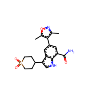 Cc1noc(C)c1-c1cc(C(N)=O)c2[nH]cc(C3CCS(=O)(=O)CC3)c2c1